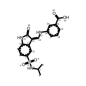 CC(C)NS(=O)(=O)c1ccc2c(c1)C(=CNc1cccc(C(=O)O)c1)C(=O)N2